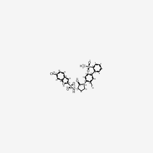 CS(=O)(=O)c1ccccc1-c1ccc(N2CC[C@H](NS(=O)(=O)c3cc4ccc(Cl)cc4o3)C2=O)c(F)c1